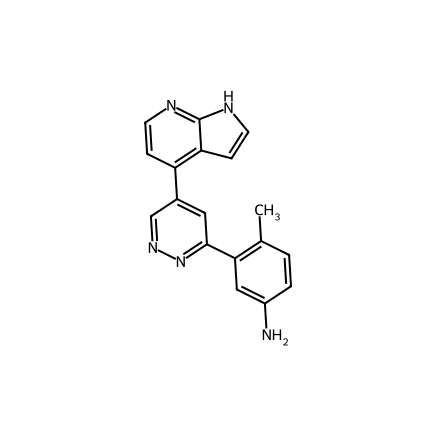 Cc1ccc(N)cc1-c1cc(-c2ccnc3[nH]ccc23)cnn1